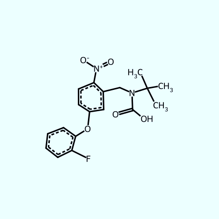 CC(C)(C)N(Cc1cc(Oc2ccccc2F)ccc1[N+](=O)[O-])C(=O)O